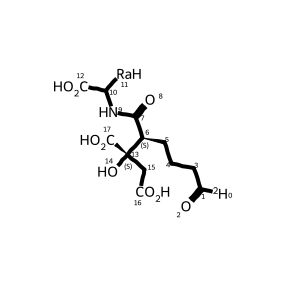 [2H]C(=O)CCC[C@H](C(=O)N[CH]([RaH])C(=O)O)[C@@](O)(CC(=O)O)C(=O)O